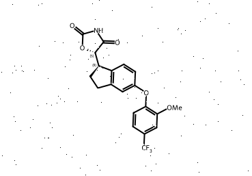 COc1cc(C(F)(F)F)ccc1Oc1ccc2c(c1)CC[C@H]2[C@@H]1OC(=O)NC1=O